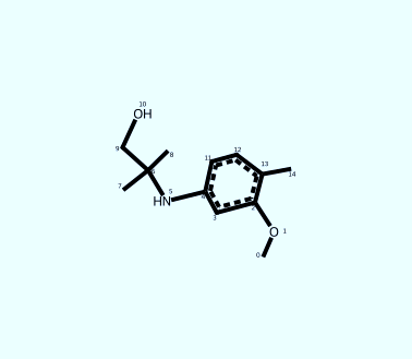 COc1cc(NC(C)(C)CO)ccc1C